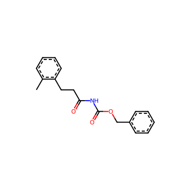 Cc1ccccc1CCC(=O)NC(=O)OCc1ccccc1